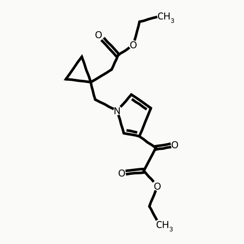 CCOC(=O)CC1(Cn2ccc(C(=O)C(=O)OCC)c2)CC1